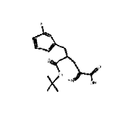 CC(C)(C)OC(=O)C(CC(=N)C(=O)O)Cc1cccc(F)c1